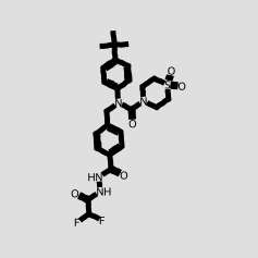 CC(C)(C)c1ccc(N(Cc2ccc(C(=O)NNC(=O)C(F)F)cc2)C(=O)N2CCS(=O)(=O)CC2)cc1